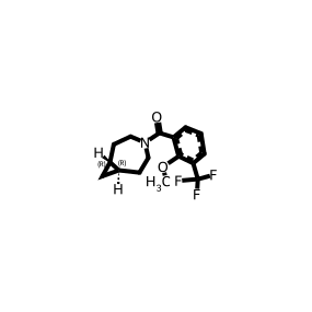 COc1c(C(=O)N2CC[C@H]3C[C@@H]3CC2)cccc1C(F)(F)F